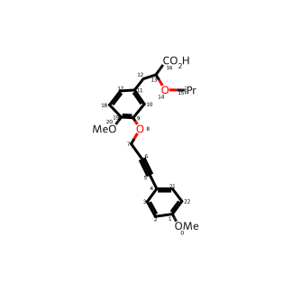 COc1ccc(C#CCOc2cc(CC(OC(C)C)C(=O)O)ccc2OC)cc1